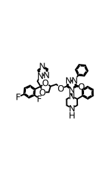 O=c1n(-c2ccccc2)nc(OCC2COC(Cn3cncn3)(c3ccc(F)cc3F)O2)n1N1CCNCC1c1ccccc1